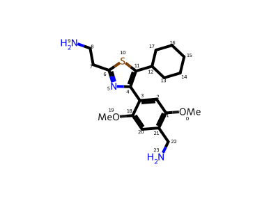 COc1cc(-c2nc(CCN)sc2C2CCCCC2)c(OC)cc1CN